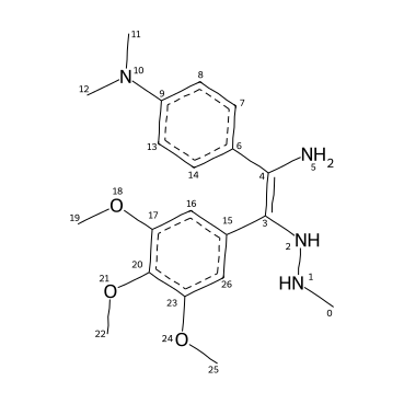 CNN/C(=C(\N)c1ccc(N(C)C)cc1)c1cc(OC)c(OC)c(OC)c1